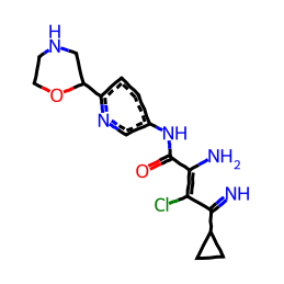 N=C(/C(Cl)=C(\N)C(=O)Nc1ccc(C2CNCCO2)nc1)C1CC1